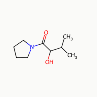 CC(C)C(O)C(=O)N1CCCC1